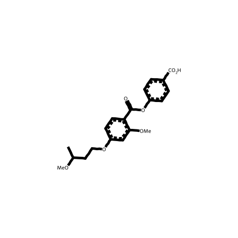 COc1cc(OCCC(C)OC)ccc1C(=O)Oc1ccc(C(=O)O)cc1